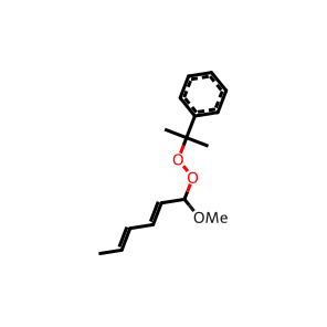 CC=CC=CC(OC)OOC(C)(C)c1ccccc1